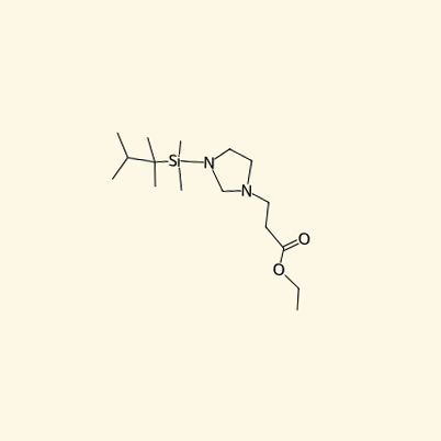 CCOC(=O)CCN1CCN([Si](C)(C)C(C)(C)C(C)C)C1